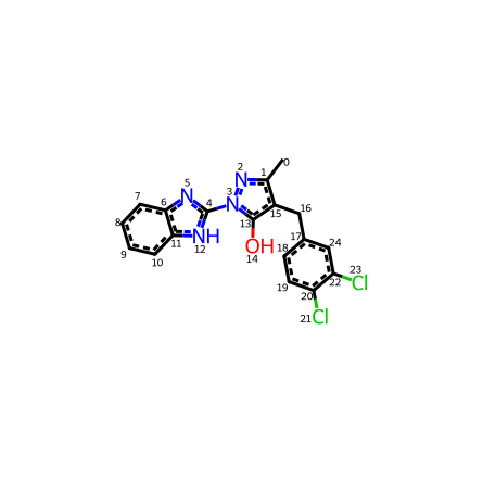 Cc1nn(-c2nc3ccccc3[nH]2)c(O)c1Cc1ccc(Cl)c(Cl)c1